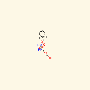 O=C(NS(=O)(=O)NCCOCCO)OC[C@@H]1[C@@H]2CCC#CCC[C@@H]21